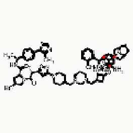 CN/C(N)=C(\C=C(/N)c1ccccc1O)N1CC2CCC(C1)N2c1ccnc(OC2CC(CN3CCCN(CC4CCN(c5cc([C@H](C(=O)N6CC(O)C[C@H]6C(=O)N[C@@H](C)c6ccc(-c7scnc7C)cc6)C(C)C)on5)CC4)C3)C2)c1